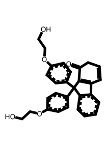 O=C1CC=CC2=C1C(c1ccc(OCCO)cc1)(c1ccc(OCCO)cc1)c1ccccc12